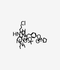 CCN(CC)c1ncc(NC(=O)CCCCl)c(N[C@@H](Cc2ccc(OC(=O)N3CCCC3)cc2)C(=O)OC(C)(C)C)n1